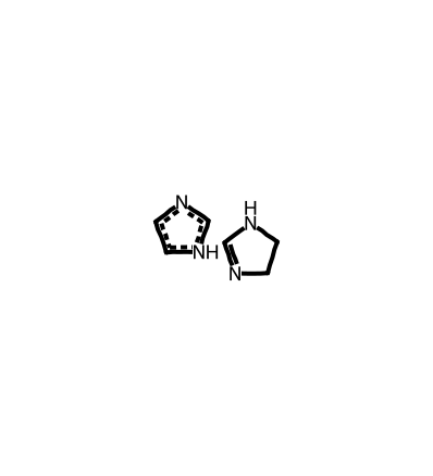 C1=NCCN1.c1c[nH]cn1